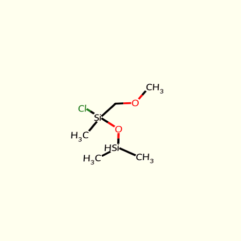 COC[Si](C)(Cl)O[SiH](C)C